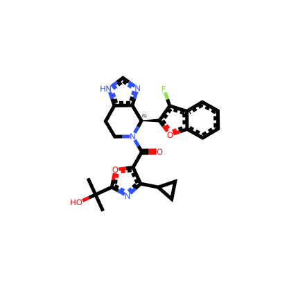 CC(C)(O)c1nc(C2CC2)c(C(=O)N2CCc3[nH]cnc3[C@H]2c2oc3ccccc3c2F)o1